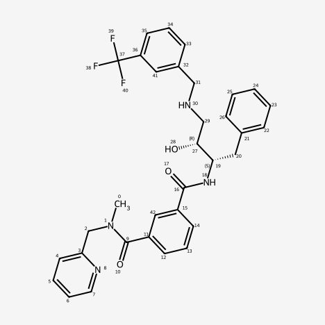 CN(Cc1ccccn1)C(=O)c1cccc(C(=O)N[C@@H](Cc2ccccc2)[C@H](O)CNCc2cccc(C(F)(F)F)c2)c1